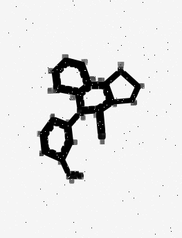 CSc1cccc(-n2c(=O)c3c(c4cccnc42)SCC3)c1